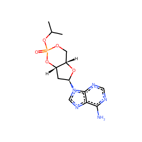 CC(C)OP1(=O)OC[C@@H]2O[C@@H](n3cnc4c(N)ncnc43)C[C@@H]2O1